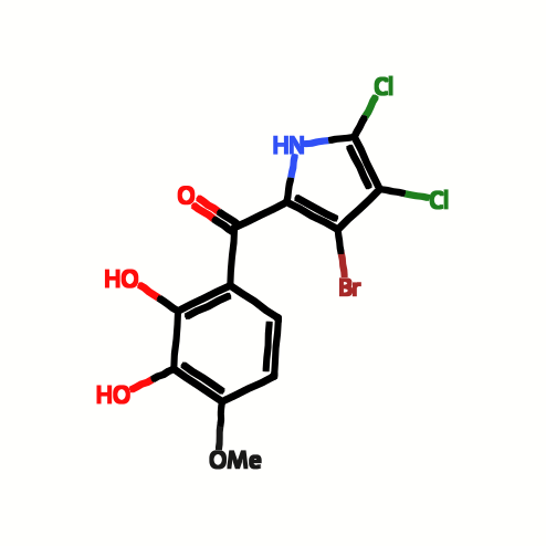 COc1ccc(C(=O)c2[nH]c(Cl)c(Cl)c2Br)c(O)c1O